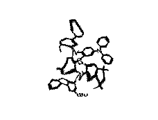 Cc1cc2c3c(c1)N(c1cc(C(C)(C)C)cc4c1Cc1ccccc1-4)c1cc4c(cc1B3c1cc(N(c3ccccc3)c3ccccc3)ccc1N2c1cc(-c2ccccc2)ccc1C)C(C)(C)CC4(C)C